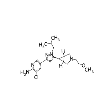 COCCN1C[C@@H]2[C@H](C1)[C@H]2c1cc(-c2cnc(N)c(Cl)c2)nn1CC(C)C